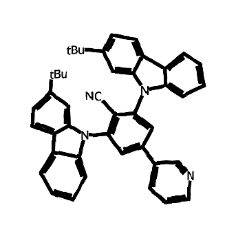 CC(C)(C)c1ccc2c3ccccc3n(-c3cc(-c4cccnc4)cc(-n4c5ccccc5c5ccc(C(C)(C)C)cc54)c3C#N)c2c1